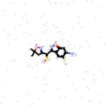 CC1(C)CC(C(=S=O)c2noc3cc(N)c(F)cc23)=NO1